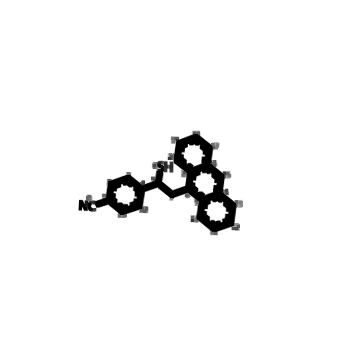 N#Cc1ccc(C(S)Cc2c3ccccc3cc3ccccc23)cc1